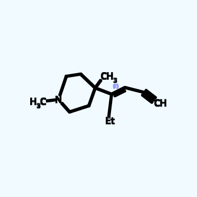 C#C/C=C(\CC)C1(C)CCN(C)CC1